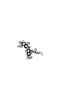 NCC(=O)NCc1c2c(nc3cc4c(cc13)OCO4)-c1cc3c(c(=O)n1C2)COC(=O)[C@H]3O